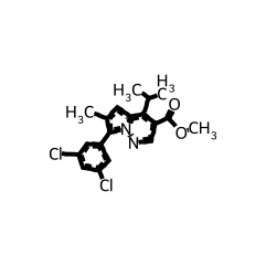 COC(=O)c1cnn2c(-c3cc(Cl)cc(Cl)c3)c(C)cc2c1C(C)C